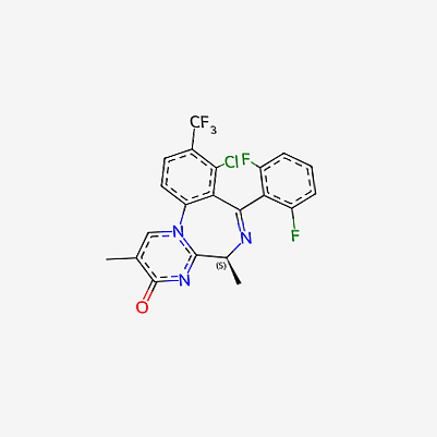 Cc1cn2c(nc1=O)[C@H](C)N=C(c1c(F)cccc1F)c1c-2ccc(C(F)(F)F)c1Cl